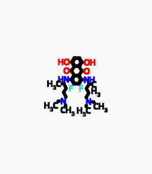 CCN(CC)CCCC(C)Nc1c(F)c(F)c(NC(C)CCCN(CC)CC)c2c1C(=O)c1c(O)ccc(O)c1C2=O